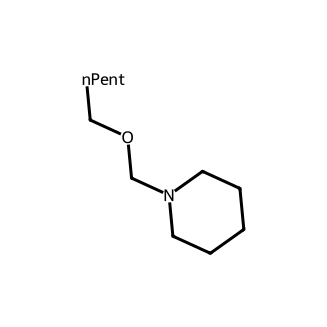 CCCCCCOCN1CCCCC1